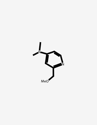 COCc1cc(N(C)C)ccn1